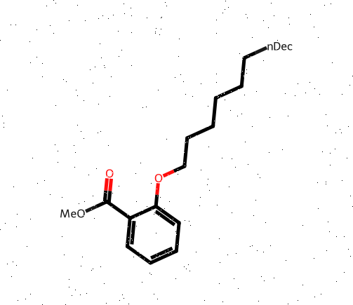 CCCCCCCCCCCCCCCCOc1ccccc1C(=O)OC